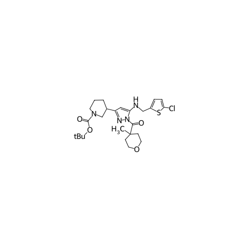 CC(C)(C)OC(=O)N1CCCC(c2cc(NCc3ccc(Cl)s3)n(C(=O)C3(C)CCOCC3)n2)C1